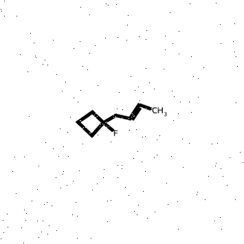 C/C=C/CC1(F)CCC1